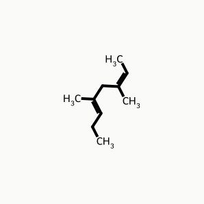 CC=C(C)CC(C)=CCC